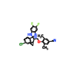 Cc1cc(C#N)cc(C)c1OCC(C1CC1)C1(c2ccc(Cl)cc2)Nc2cc(F)c(F)cc2N1